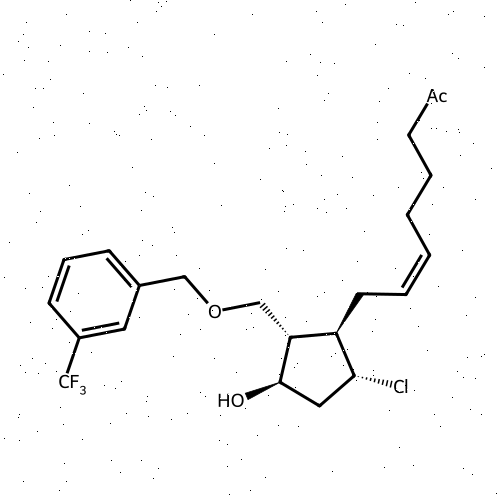 CC(=O)CCC/C=C\C[C@@H]1[C@@H](COCc2cccc(C(F)(F)F)c2)[C@H](O)C[C@H]1Cl